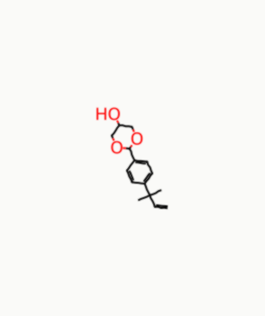 C=CC(C)(C)c1ccc(C2OCC(O)CO2)cc1